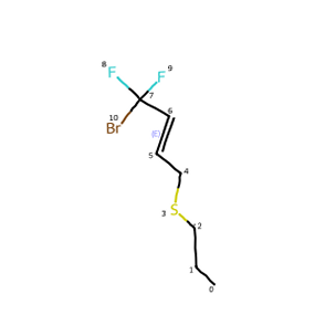 CC[CH]SC/C=C/C(F)(F)Br